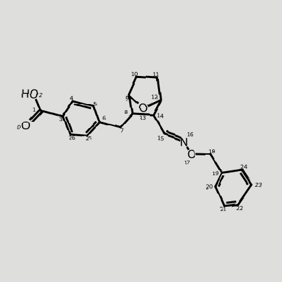 O=C(O)c1ccc(CC2C3CCC(O3)C2/C=N/OCc2ccccc2)cc1